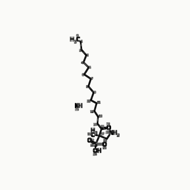 CCCCCCCCCCCCCCCC(=O)C(C)(CN)S(=O)(=O)O.[KH]